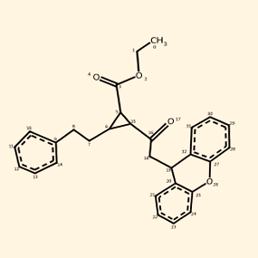 CCOC(=O)C1C(CCc2ccccc2)C1C(=O)CC1c2ccccc2Oc2ccccc21